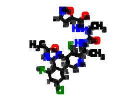 Cc1nc(-c2c(F)cc(Cl)cc2-c2cnc([C@@H](C)NC(=O)N(C)NC(=O)c3ccno3)c(F)c2)no1